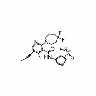 CC#Cc1cnc(N2CCCC(F)(F)CC2)c(C(=O)Nc2cccc(S(C)(=N)=O)c2)c1C